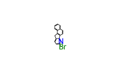 Brc1ccc2c(n1)-c1ccc3ccccc3c1C2